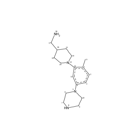 Cc1ccc(N2CCNCC2)cc1N1CCC(CN)CC1